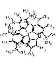 CC1=C(C)C(C)C([Si](c2cc(N(C)C)c(C)c(N(C)C)c2C)(c2cc(N(C)C)c(C)c(N(C)C)c2C)c2cc(N(C)C)c(C)c(N(C)C)c2C)=C1C